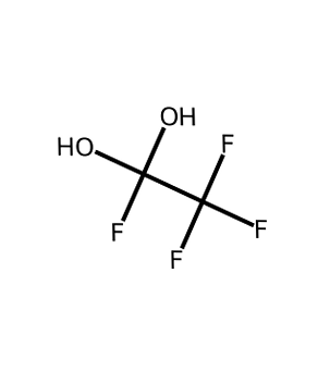 OC(O)(F)C(F)(F)F